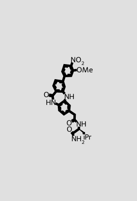 COc1cc(-c2ccc3c(c2)Nc2cc(CC(=O)N[C@@H](CC(C)C)C(N)=O)ccc2NC3=O)ccc1[N+](=O)[O-]